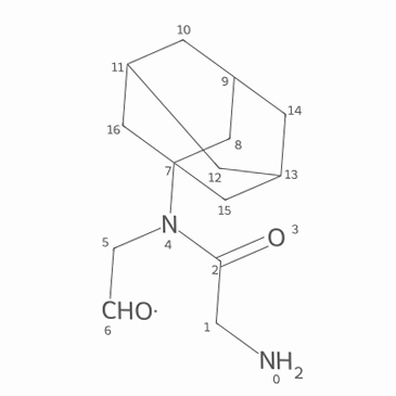 NCC(=O)N(C[C]=O)C12CC3CC(CC(C3)C1)C2